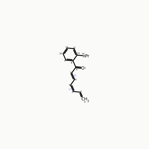 C=C/C=C\C=C\C(=O)c1ccccc1CCC